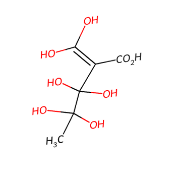 CC(O)(O)C(O)(O)C(C(=O)O)=C(O)O